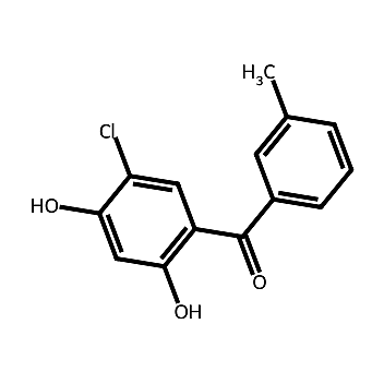 Cc1cccc(C(=O)c2cc(Cl)c(O)cc2O)c1